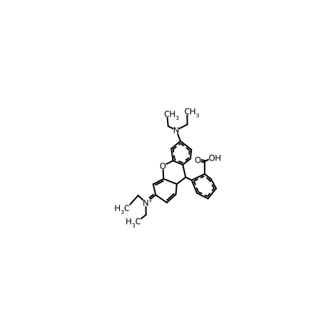 CCN(CC)c1ccc2c(c1)OC1=CC(=[N+](CC)CC)C=CC1C2c1ccccc1C(=O)O